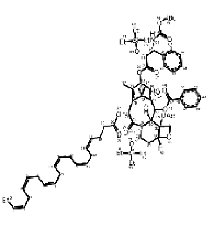 CC/C=C\C/C=C\C/C=C\C/C=C\C/C=C\C/C=C\CCC(=O)O[C@H]1C(=O)[C@]2(C)[C@@H](O[Si](CC)(CC)CC)C[C@H]3OC[C@@]3(OC(C)=O)[C@H]2[C@H](OC(=O)c2ccccc2)[C@]2(O)CC(OC(=O)[C@H](O[Si](CC)(CC)CC)[C@@H](NC(=O)OC(C)(C)C)c3ccccc3)C(C)=C1C2(C)C